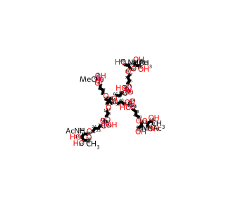 COP(=O)(O)OCCCCOCC(COCCCOP(=O)(O)OCCCCOC1OC(C)C(O)C(O)C1NC(C)=O)(COCCCOP(=O)(O)OCCCCOC(OC(CO)[C@H](C)O)[C@H](CO)NC(C)=O)COCCCOP(=O)(O)OCCCCOC(OC(CO)[C@@H](C)O)[C@H](CO)NC(C)=O